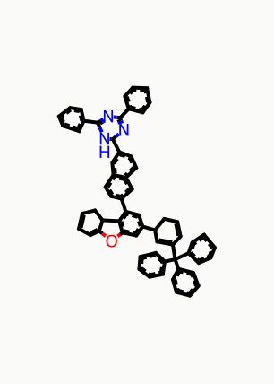 C1=CCC2C(=C1)Oc1cc(C3C=C(C(c4ccccc4)(c4ccccc4)c4ccccc4)C=CC3)cc(-c3ccc4cc(C5N=C(c6ccccc6)N=C(c6ccccc6)N5)ccc4c3)c12